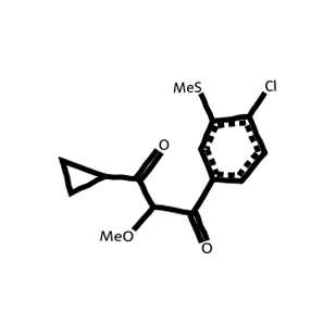 COC(C(=O)c1ccc(Cl)c(SC)c1)C(=O)C1CC1